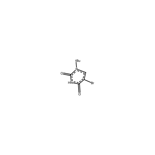 CC(C)(C)n1cc(Br)c(=O)[nH]c1=O